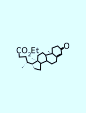 CCOC(=O)CC[C@@H](C)[C@H]1CCC2C3CCC4=CC(=O)CC[C@]4(C)C3CC[C@@]21C